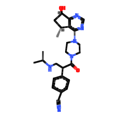 CC(C)NCC(C(=O)N1CCN(c2ncnc3c2[C@H](C)C[C@H]3O)CC1)c1ccc(C#N)cc1